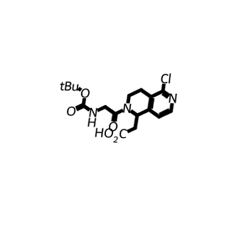 CC(C)(C)OC(=O)NCC(=O)N1CCc2c(ccnc2Cl)C1CC(=O)O